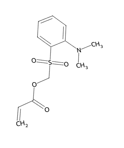 C=CC(=O)OCS(=O)(=O)c1ccccc1N(C)C